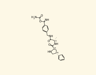 C[C@H](NC(=O)[C@H]1C[C@H](c2ccccc2)CN1)C(=O)NCc1ccc(C(=N)OC(N)=O)cc1